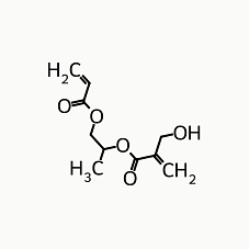 C=CC(=O)OCC(C)OC(=O)C(=C)CO